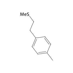 CSCCc1ccc(C)cc1